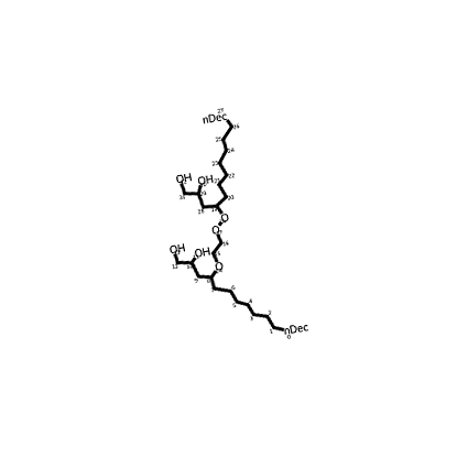 CCCCCCCCCCCCCCCCCC(CC(O)CO)OCCOOC(CCCCCCCCCCCCCCCCC)CC(O)CO